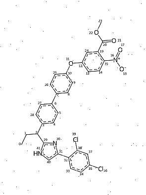 CCC(c1ccc(-c2ccc(Oc3ccc([N+](=O)[O-])c(C(=O)OC)c3)cc2)cc1)c1nc(-c2ccc(Cl)cc2Cl)c[nH]1